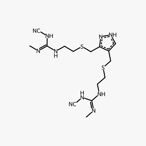 CN=C(NC#N)NCCSCc1c[nH]nc1CSCCNC(=NC)NC#N